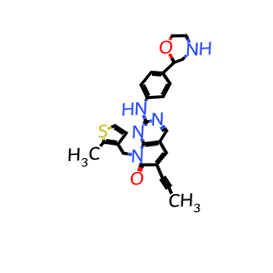 CC#Cc1cc2cnc(Nc3ccc(C4CNCCO4)cc3)nc2n(Cc2ccsc2C)c1=O